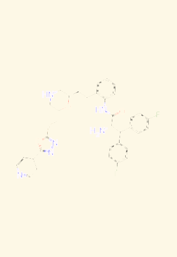 N[C@H](C(=O)Nc1ccccc1CC[C@@H]1CNC[C@@H](CSc2nnc(C3C=CN=CC3)o2)O1)C(c1ccc(F)cc1)c1ccc(F)cc1